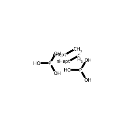 CCCCCCCC.CCCCCCCC.OP(O)O.OP(O)O